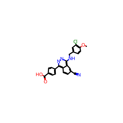 COc1ccc(CNc2nnc(-c3ccc(C(=O)O)cc3)c3ccc(C#N)cc23)cc1Cl